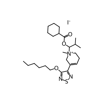 CCCCCCOc1nsnc1C1=CCC[N+](C)(C(OC(=O)C2CCCCC2)C(C)C)C1.[I-]